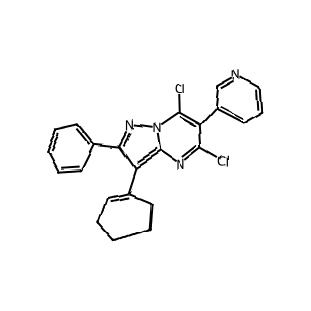 Clc1nc2c(C3=CCCCC3)c(-c3ccccc3)nn2c(Cl)c1-c1cccnc1